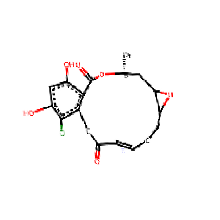 CC(C)[C@@H]1CC2OC2CC/C=C/C(=O)Cc2c(Cl)c(O)cc(O)c2C(=O)O1